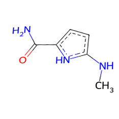 CNc1ccc(C(N)=O)[nH]1